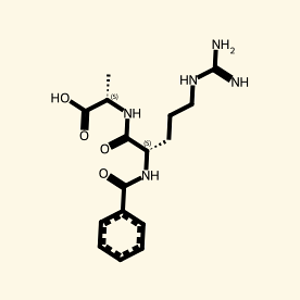 C[C@H](NC(=O)[C@H](CCCNC(=N)N)NC(=O)c1ccccc1)C(=O)O